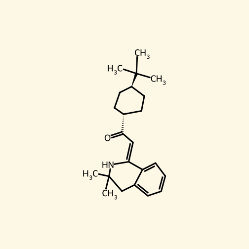 CC1(C)Cc2ccccc2C(=CC(=O)[C@H]2CC[C@H](C(C)(C)C)CC2)N1